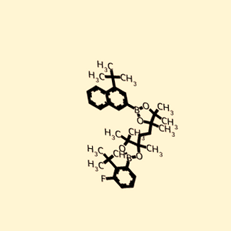 CC(C)(C)c1c(F)cccc1B1OC(C)(C)C(C)(CCC2(C)OB(c3cc(C(C)(C)C)c4ccccc4c3)OC2(C)C)O1